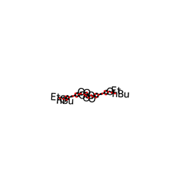 CCCCC(CC)COc1ccc(C#Cc2ccc(C(=O)O[C@H]3COC4C3OC[C@H]4OC(=O)c3ccc(C#Cc4ccc(OCC(CC)CCCC)cc4)cc3)cc2)cc1